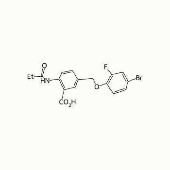 CCC(=O)Nc1ccc(COc2ccc(Br)cc2F)cc1C(=O)O